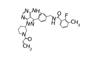 C=CC(=O)N1CCCC(n2nc(-c3ccc(CNC(=O)c4cccc(C)c4F)cc3)c3c(N)ncnc32)C1